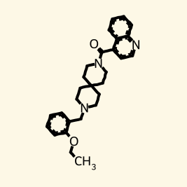 CCOc1ccccc1CN1CCC2(CC1)CCN(C(=O)c1ccnc3ccccc13)CC2